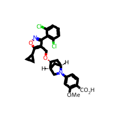 COc1cc(N2C[C@@H]3C[C@H]2C[C@H]3OCc2c(-c3c(Cl)cccc3Cl)noc2C2CC2)ccc1C(=O)O